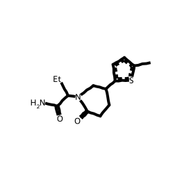 CCC(C(N)=O)N1CC(c2ccc(C)s2)CCC1=O